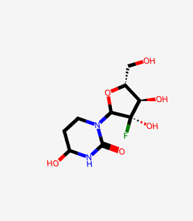 O=C1NC(O)CCN1C1O[C@H](CO)[C@@H](O)[C@@]1(O)F